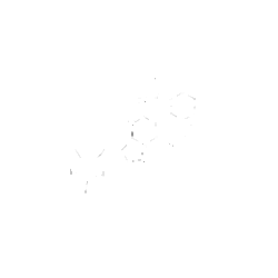 C[C@H](Nc1cc(NC2CC2)n2ncc(C=C3NC(=O)NC3=O)c2n1)c1cccc(Cl)c1